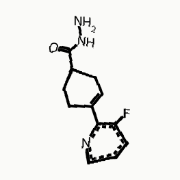 NNC(=O)C1CC=C(c2ncccc2F)CC1